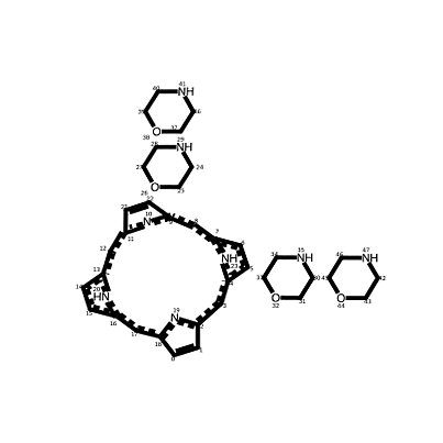 C1=Cc2cc3ccc(cc4nc(cc5ccc(cc1n2)[nH]5)C=C4)[nH]3.C1COCCN1.C1COCCN1.C1COCCN1.C1COCCN1